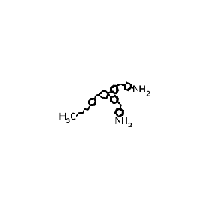 CCCCCCc1ccc(CC2CCC(c3ccc(Cc4ccc(N)cc4)cc3)(c3ccc(Cc4ccc(N)cc4)cc3)CC2)cc1